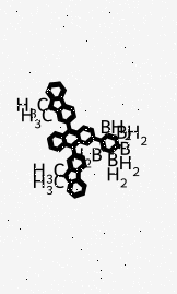 Bc1c(B)c(B)c(-c2ccc3c(-c4ccc5c(c4)C(C)(C)c4ccccc4-5)c4ccccc4c(-c4ccc5c(c4)C(C)(C)c4ccccc4-5)c3c2)c(B)c1B